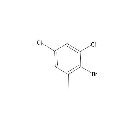 Cc1cc(Cl)cc(Cl)c1Br